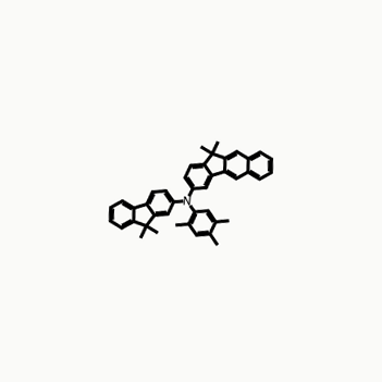 Cc1cc(C)c(N(c2ccc3c(c2)-c2cc4ccccc4cc2C3(C)C)c2ccc3c(c2)C(C)(C)c2ccccc2-3)cc1C